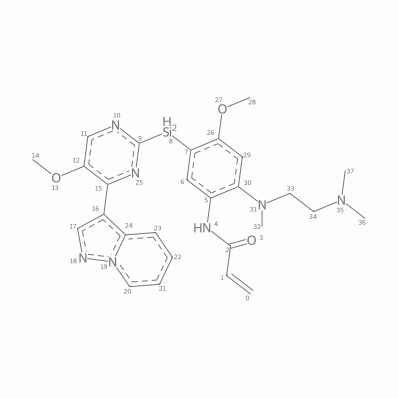 C=CC(=O)Nc1cc([SiH2]c2ncc(OC)c(-c3cnn4ccccc34)n2)c(OC)cc1N(C)CCN(C)C